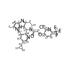 Cc1nn2c3c(nc2s1)CCN(C(=O)COc1ccc(C(F)(F)F)nc1Cl)C3c1ncc(C2CC2)cc1F